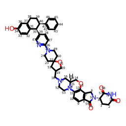 O=C1CC[C@H](N2Cc3c(ccc4c3OC[C@H]3CN(CC5COC6(CCN(c7ccc([C@H]8c9ccc(O)cc9CC[C@H]8c8ccccc8)cn7)CC6)C5)CCN43)C2=O)C(=O)N1